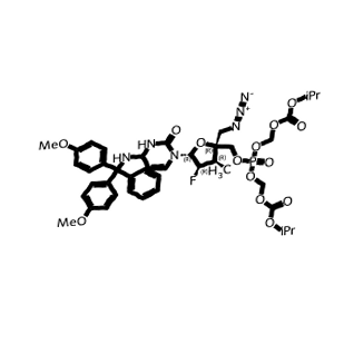 COc1ccc(C(NC2C=CN([C@@H]3O[C@](CN=[N+]=[N-])(COP(=O)(OCOC(=O)OC(C)C)OCOC(=O)OC(C)C)[C@@H](C)[C@H]3F)C(=O)N2)(c2ccccc2)c2ccc(OC)cc2)cc1